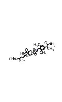 CCCCCCC(CCC)CCC1=NC2(CCN(S(=O)(=O)/C=C/c3c(C)cc(N(C)C(N)=O)cc3C)CC2)C(=O)N1